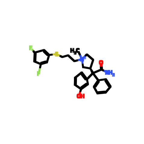 C[N+]1(CCCSc2cc(F)cc(F)c2)CC[C@@H](C(C(N)=O)(c2ccccc2)c2cccc(O)c2)C1